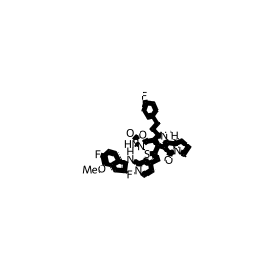 COc1c(F)ccc2c1C[C@H](F)[C@H]2Nc1nccc2cc(-c3c4c(nc(CCc5ccc(F)cc5)c3-c3n[nH]c(=O)o3)[C@@H]3CCCN3C4=O)sc12